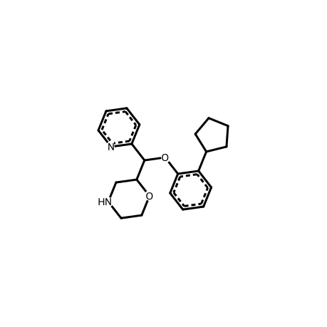 c1ccc(C(Oc2ccccc2C2CCCC2)C2CNCCO2)nc1